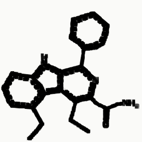 CCc1cccc2[nH]c3c(-c4ccccc4)nc(C(N)=O)c(CC)c3c12